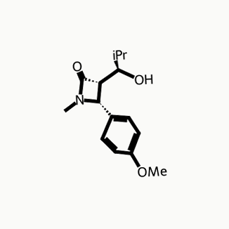 COc1ccc([C@H]2[C@@H]([C@H](O)C(C)C)C(=O)N2C)cc1